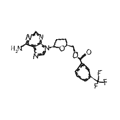 Nc1ncnc2c1ncn2[C@H]1CC[C@@H](COC(=O)c2cccc(C(F)(F)F)c2)O1